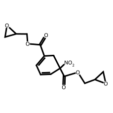 O=C(OCC1CO1)C1=CC=CC(C(=O)OCC2CO2)([N+](=O)[O-])C1